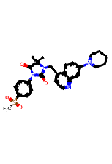 CC1(C)C(=O)N(c2ccc(S(=O)(=O)C(F)(F)F)cc2)C(=O)N1Cc1ccnc2cc(N3CCCCC3)ccc12